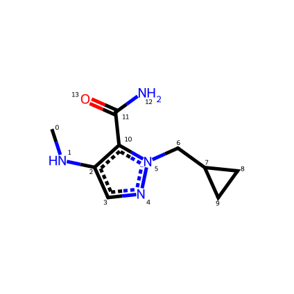 CNc1cnn(CC2CC2)c1C(N)=O